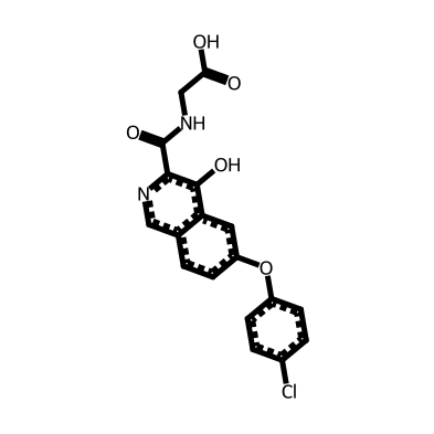 O=C(O)CNC(=O)c1ncc2ccc(Oc3ccc(Cl)cc3)cc2c1O